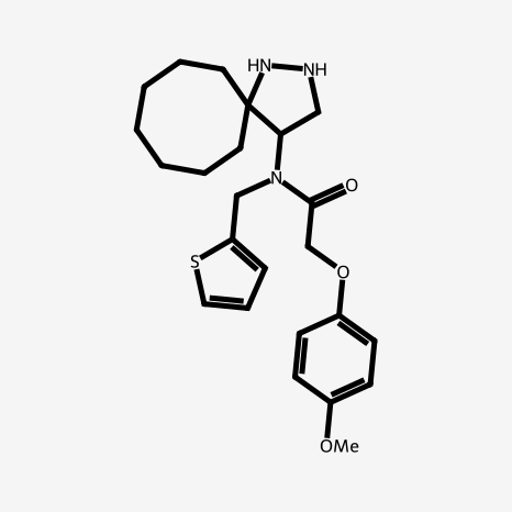 COc1ccc(OCC(=O)N(Cc2cccs2)C2CNNC23CCCCCCC3)cc1